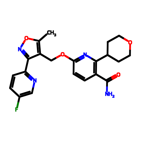 Cc1onc(-c2ccc(F)cn2)c1COc1ccc(C(N)=O)c(C2CCOCC2)n1